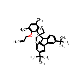 C=CCOc1c(C)cc(C)cc1[Si](CC)(CC)C1c2ccc(C(C)(C)C)cc2-c2cc(C(C)(C)C)ccc21